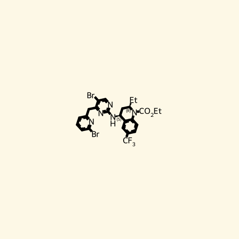 CCOC(=O)N1c2ccc(C(F)(F)F)cc2[C@@H](Nc2ncc(Br)c(Cc3cccc(Br)n3)n2)C[C@H]1CC